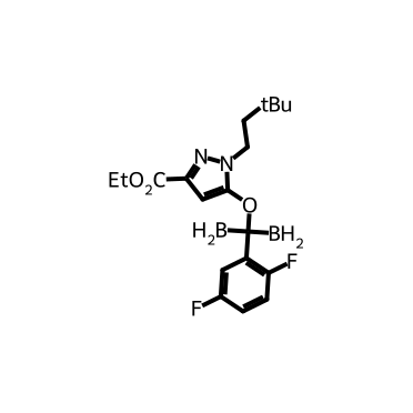 BC(B)(Oc1cc(C(=O)OCC)nn1CCC(C)(C)C)c1cc(F)ccc1F